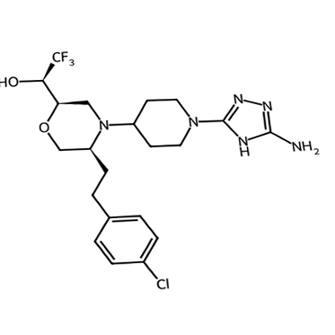 Nc1nnc(N2CCC(N3C[C@H]([C@@H](O)C(F)(F)F)OC[C@@H]3CCc3ccc(Cl)cc3)CC2)[nH]1